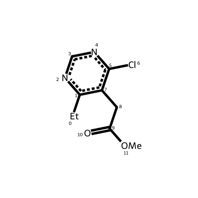 CCc1ncnc(Cl)c1CC(=O)OC